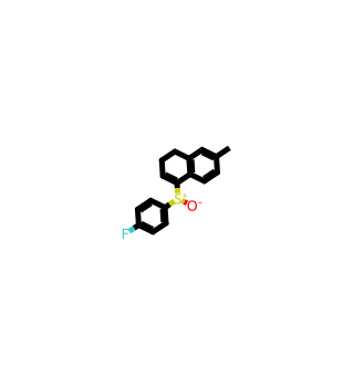 Cc1ccc2c(c1)CCC=C2[S+]([O-])c1ccc(F)cc1